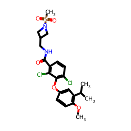 COc1ccc(Oc2c(Cl)ccc(C(=O)NCC3CN(S(C)(=O)=O)C3)c2Cl)cc1C(C)C